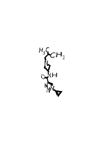 CC(C)CN1CC(NC(=O)c2cn(C3CC3)nn2)C1